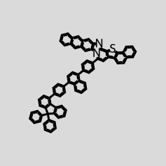 c1ccc(C2(c3ccccc3)c3ccccc3-c3c(-c4ccc(-c5ccc(-c6ccc(-c7cc8c9ccc%10ccccc%10c9sc8c8nc9cc%10cc%11ccccc%11cc%10cc9n78)cc6)c6ccccc56)cc4)cccc32)cc1